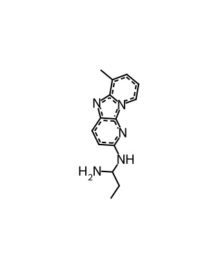 CCC(N)Nc1ccc2nc3c(C)cccn3c2n1